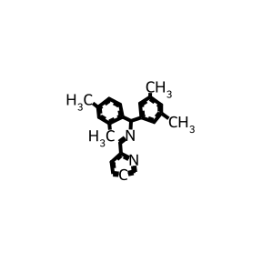 Cc1cc(C)cc(C(/N=C/c2ccccn2)c2ccc(C)cc2C)c1